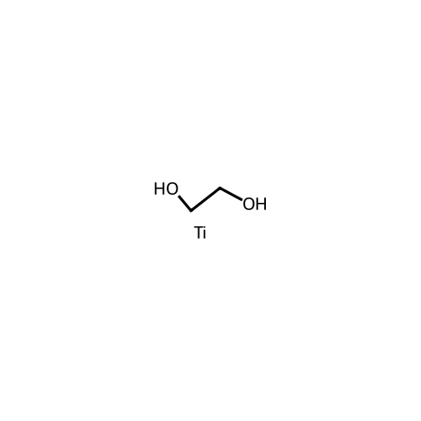 OCCO.[Ti]